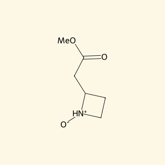 COC(=O)CC1CC[NH+]1[O-]